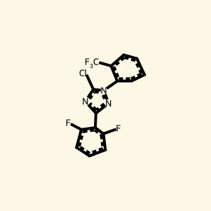 Fc1cccc(F)c1-c1nc(Cl)n(-c2ccccc2C(F)(F)F)n1